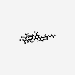 CN(C)CCCNC(=O)c1cccc(-c2cc(N(C)C)c3c(c2O)C(=O)C2=C(O)[C@]4(O)C(=O)C(C(N)=O)=C(O)[C@@H](N(C)C)[C@@H]4C[C@@H]2C3)c1